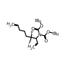 C=CCCCC(F)(F)C(C=C)N(C(=O)OC(C)(C)C)C(=O)OC(C)(C)C